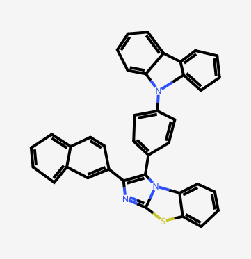 c1ccc2cc(-c3nc4sc5ccccc5n4c3-c3ccc(-n4c5ccccc5c5ccccc54)cc3)ccc2c1